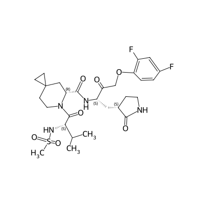 CC(C)[C@H](NS(C)(=O)=O)C(=O)N1CCC2(CC2)C[C@@H]1C(=O)N[C@@H](C[C@@H]1CCNC1=O)C(=O)COc1ccc(F)cc1F